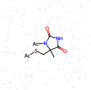 CC(=O)SCC1(C)C(=O)NC(=O)N1C(C)=O